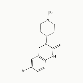 CC(C)(C)N1CCC(N2Cc3cc(Br)ccc3NC2=O)CC1